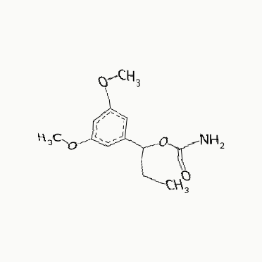 CCC(OC(N)=O)c1cc(OC)cc(OC)c1